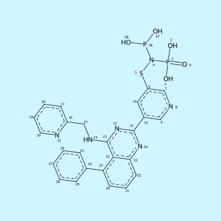 O=P(O)(O)N(Sc1cncc(-c2nc(NCc3ccccn3)c3c(-c4ccccc4)cccc3n2)c1)P(O)O